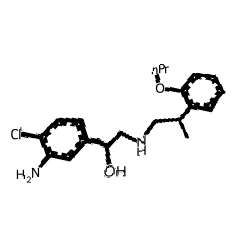 CCCOc1ccccc1C(C)CNCC(O)c1ccc(Cl)c(N)c1